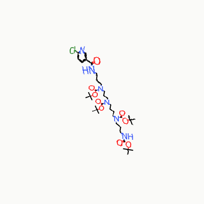 CC(C)(C)OC(=O)NCCCN(CCCCN(CCCN(CCCNC(=O)c1ccc(Cl)nc1)C(=O)OC(C)(C)C)C(=O)OC(C)(C)C)C(=O)OC(C)(C)C